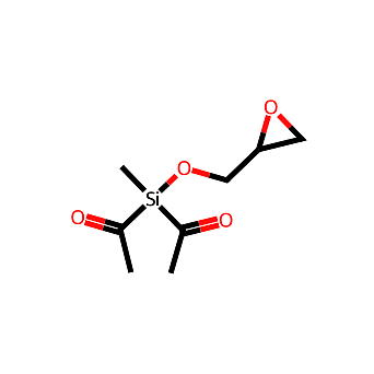 CC(=O)[Si](C)(OCC1CO1)C(C)=O